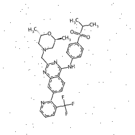 CC(C)S(=O)(=O)c1ccc(Nc2nc(CN3C[C@H](C)O[C@@H](C)C3)nc3cc(-c4ncccc4C(F)(F)F)ccc23)cc1